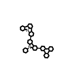 c1ccc(-n2c3ccc(-c4ccc5c6ccccc6c6ccccc6c5c4)cc3c3cc(-c4ccc5c6cccc7c8ccccc8n(c5c4)c76)ccc32)cc1